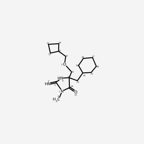 CN1C(=N)NC(COCC2CCC2)(CC2CCCCC2)C1=O